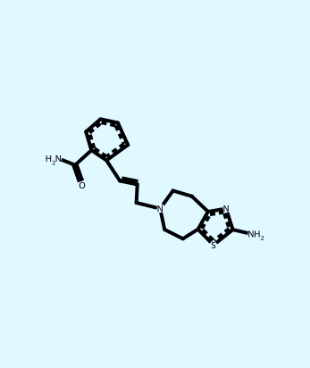 NC(=O)c1ccccc1/C=C/CN1CCc2nc(N)sc2CC1